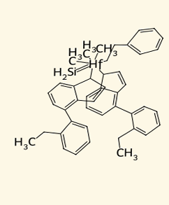 CCc1ccccc1-c1cccc2c1C=C[CH]2[Hf]([CH3])([CH3])([CH3])(=[SiH2])([CH2]Cc1ccccc1)[CH]1C=Cc2c(-c3ccccc3CC)cccc21